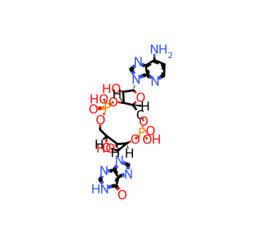 Nc1ccnc2c1ncn2[C@@H]1O[C@@H]2COP(=O)(O)O[C@@H]3[C@H](O)[C@@H](COP(=O)(O)O[C@H]2[C@H]1O)O[C@H]3n1cnc2c(=O)[nH]cnc21